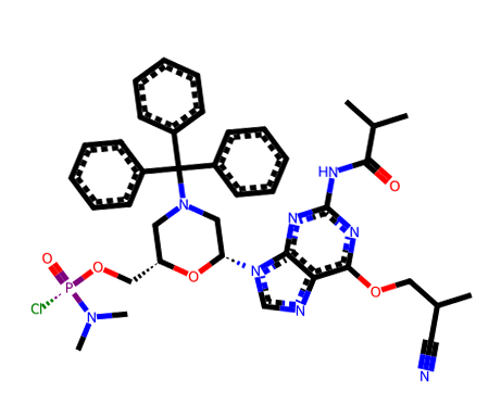 CC(C#N)COc1nc(NC(=O)C(C)C)nc2c1ncn2[C@H]1CN(C(c2ccccc2)(c2ccccc2)c2ccccc2)C[C@@H](CO[P@@](=O)(Cl)N(C)C)O1